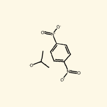 CC(C)[O].O=[N+]([O-])c1ccc([N+](=O)[O-])cc1